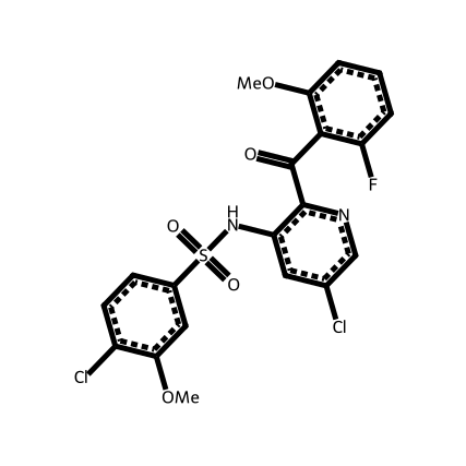 COc1cc(S(=O)(=O)Nc2cc(Cl)cnc2C(=O)c2c(F)cccc2OC)ccc1Cl